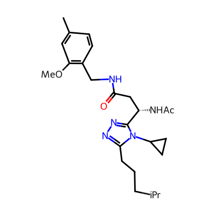 COc1cc(C)ccc1CNC(=O)C[C@H](NC(C)=O)c1nnc(CCCC(C)C)n1C1CC1